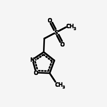 Cc1cc(CS(C)(=O)=O)no1